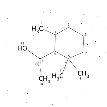 CC1CCCC(C)(C)C1[C@H](C)O